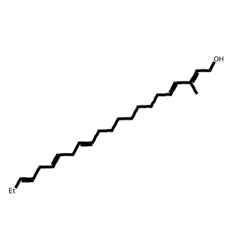 CC/C=C/C/C=C/C/C=C/CCCCCCC/C=C/C(C)=C/CO